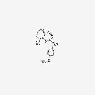 CCCCOc1ccc(Nc2ccc3cccc(CC)c3n2)cc1